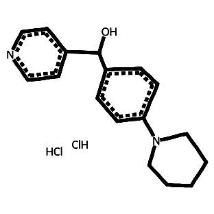 Cl.Cl.OC(c1ccncc1)c1ccc(N2CCCCC2)cc1